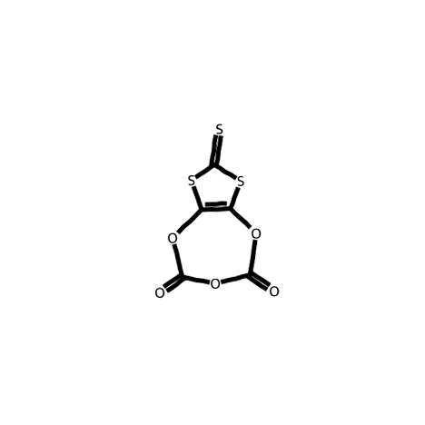 O=C1OC(=O)Oc2sc(=S)sc2O1